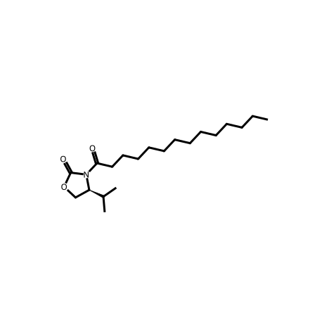 CCCCCCCCCCCCCC(=O)N1C(=O)OC[C@@H]1C(C)C